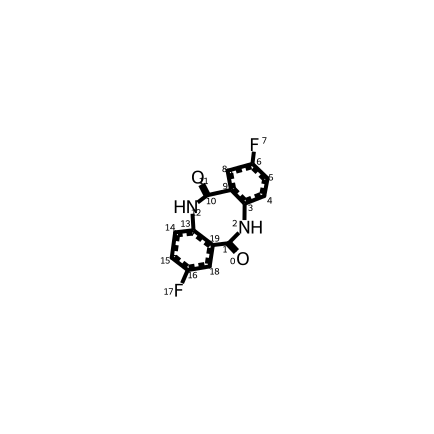 O=C1Nc2ccc(F)cc2C(=O)Nc2ccc(F)cc21